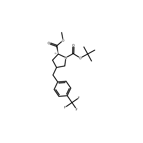 COC(=O)[C@@H]1CC(Cc2ccc(C(F)(F)F)cc2)CN1C(=O)OC(C)(C)C